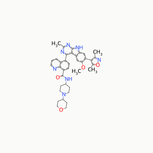 COc1cc2c(cc1-c1c(C)noc1C)[nH]c1nc(C)nc(-c3ccc(C(=O)NC4CCN(C5CCOCC5)CC4)c4ncccc34)c12